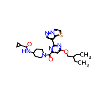 CCC(CC)COc1cc(C(=O)N2CCC(NC(=O)C3CC3)CC2)nc(-c2cnn3ccsc23)n1